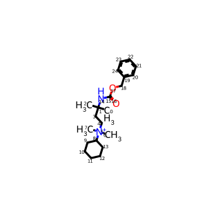 CC(C)(CC[N+](C)(C)C1CCCCC1)NC(=O)OCc1ccccc1